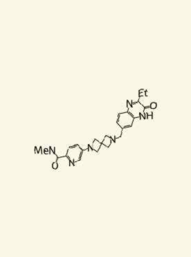 CCc1nc2ccc(CN3CC4(C3)CN(c3ccc(C(=O)NC)nc3)C4)cc2[nH]c1=O